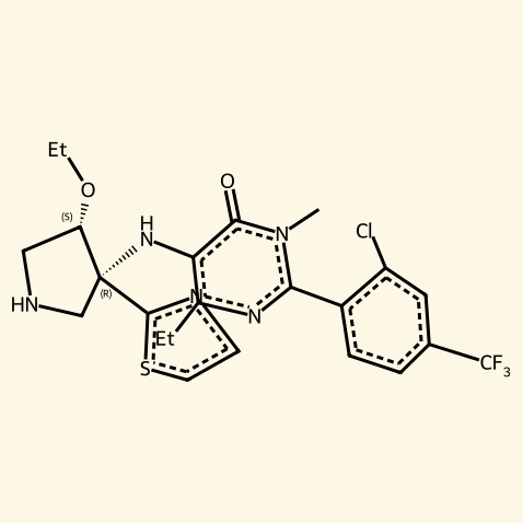 CCO[C@H]1CNC[C@]1(Nc1c(CC)nc(-c2ccc(C(F)(F)F)cc2Cl)n(C)c1=O)c1nccs1